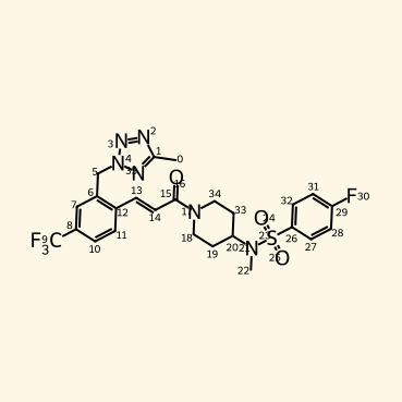 Cc1nnn(Cc2cc(C(F)(F)F)ccc2C=CC(=O)N2CCC(N(C)S(=O)(=O)c3ccc(F)cc3)CC2)n1